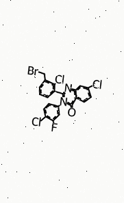 O=c1c2ccc(Cl)cc2nc(-c2cccc(CBr)c2Cl)n1-c1ccc(Cl)c(F)c1